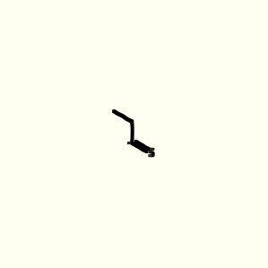 CC[C]=S